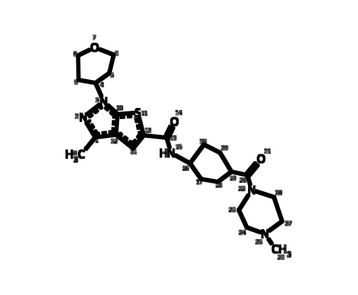 Cc1nn(C2CCOCC2)c2sc(C(=O)NC3CCC(C(=O)N4CCN(C)CC4)CC3)cc12